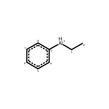 C[CH2][AlH][c]1ccccc1